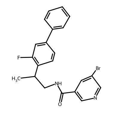 CC(CNC(=O)c1cncc(Br)c1)c1ccc(-c2ccccc2)cc1F